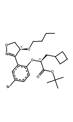 CCCCO[C@@H]1CON=C1c1cc(Br)ccc1O[C@@H](CC1CCC1)C(=O)OC(C)(C)C